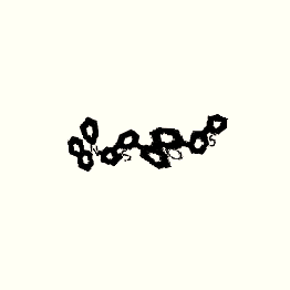 c1ccc(N(c2ccc3sc4c(-c5cccc6oc7c(-c8ccc9sc%10ccccc%10c9c8)cccc7c56)cccc4c3c2)c2cccc3ccccc23)cc1